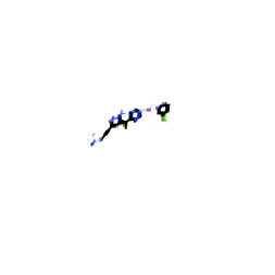 CCN(CC)CC#Cc1cnc(N)c2c(-c3ccc(NC(=O)Nc4cc(C(F)(F)F)ccc4F)cc3)csc12